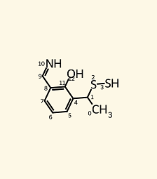 CC(SS)c1cccc(C=N)c1O